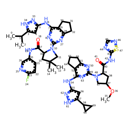 CC(C)c1cc(Nc2nc(N3CC(C)(C)CC3C(=O)Nc3ccc(F)nc3)nc3c2CCC3)n[nH]1.COC1CC(C(=O)Nc2ncns2)N(c2nc3c(c(Nc4cc(C5CC5)[nH]n4)n2)CCC3)C1